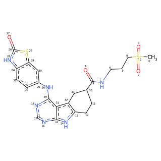 CS(=O)(=O)CCCNC(=O)C1CCc2[nH]c3ncnc(Nc4ccc5[nH]c(=O)sc5c4)c3c2C1